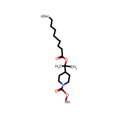 CCCCCCCCCCCCCCCCCC(=O)OC(C)(C)C1CCN(C(=O)OC(C)(C)C)CC1